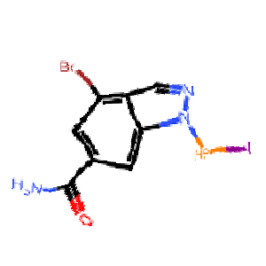 NC(=O)c1cc(Br)c2cnn(PI)c2c1